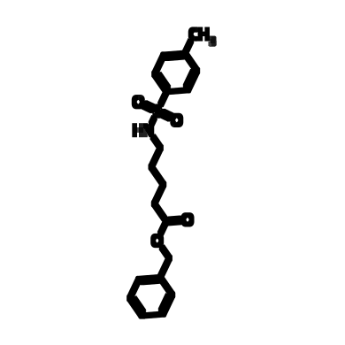 Cc1ccc(S(=O)(=O)NCCCCC(=O)OCc2ccccc2)cc1